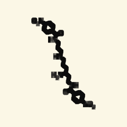 NC(CCCNCCCNC(=O)c1ccc([N+](=O)[O-])cc1)CCNC(=O)c1ccc([N+](=O)[O-])cc1